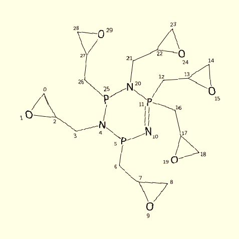 C1OC1CN1P(CC2CO2)N=P(CC2CO2)(CC2CO2)N(CC2CO2)P1CC1CO1